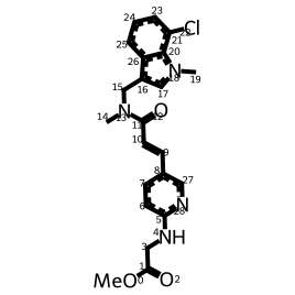 COC(=O)CNc1ccc(C=CC(=O)N(C)Cc2cn(C)c3c(Cl)cccc23)cn1